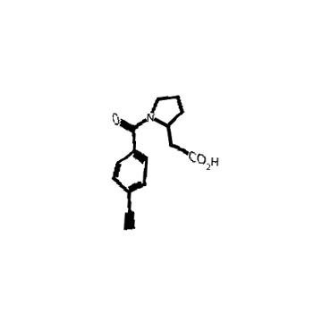 [C]#Cc1ccc(C(=O)N2CCCC2CC(=O)O)cc1